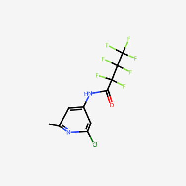 Cc1cc(NC(=O)C(F)(F)C(F)(F)C(F)(F)F)cc(Cl)n1